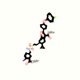 CNC(=O)c1c(-c2ccc(Oc3ccc(F)cc3)cc2)oc2cc(CCS(=O)(=O)NCc3ccc(I)c(C(=O)OC)c3)c(C3CC3)cc12